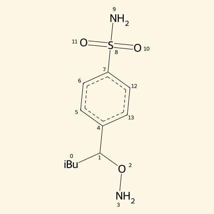 CCC(C)C(ON)c1ccc(S(N)(=O)=O)cc1